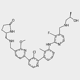 COc1nc(-c2ccnc(-c3cccc(Nc4nccc(CNC[C@@H](C)O)c4F)c3C)c2Cl)ccc1CNC[C@H]1CCC(=O)N1